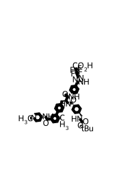 Cc1ccc(C(=O)NC2CCN(C)CC2)cc1-c1ccc(C[C@H](NC(=O)[C@H]2CC[C@H](CNC(=O)OC(C)(C)C)CC2)C(=O)Nc2ccc(-c3nc(C(F)(F)C(F)(F)C(=O)O)n[nH]3)cc2)cc1